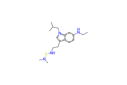 CCNc1ccc2c(CCNSN(C)C)cn(CC(C)C)c2c1